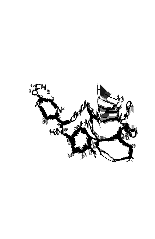 COc1cnc(C(=O)Nc2ccc(F)c([C@]34COCCC3S(=O)(=O)N(C)C(=N)N4)c2)cn1